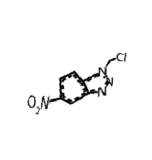 O=[N+]([O-])c1ccc2c(c1)nnn2CCl